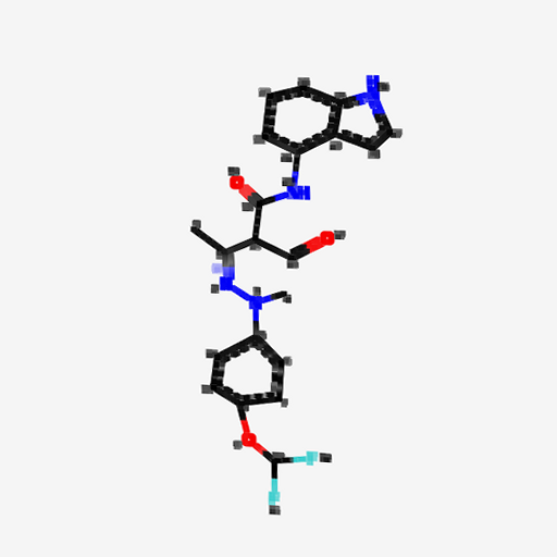 C/C(=N/N(C)c1ccc(OC(F)F)cc1)C(C=O)C(=O)Nc1cccc2[nH]ccc12